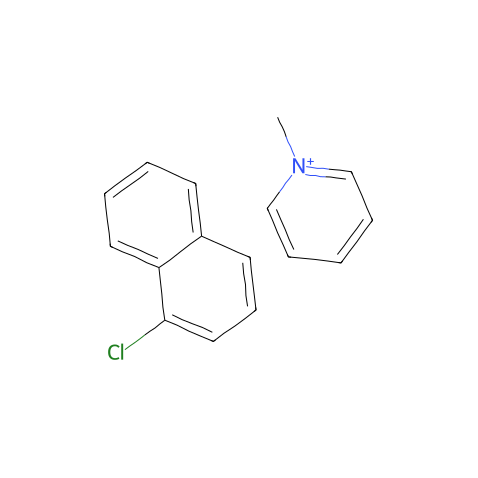 C[n+]1ccccc1.Clc1cccc2ccccc12